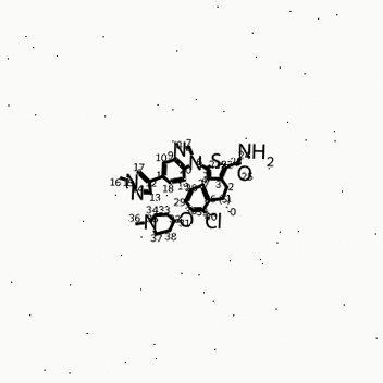 C[C@@H](Cc1cc(-n2cnc3cc(-c4cnn(C)c4)ccc32)sc1C(N)=O)c1cccc(OC2CCN(C)CC2)c1Cl